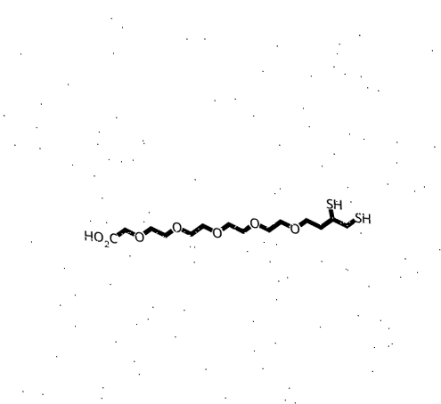 O=C(O)COCCOCCOCCOCCOCCC(S)CS